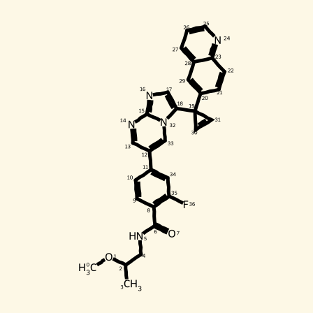 COC(C)CNC(=O)c1ccc(-c2cnc3ncc(C4(c5ccc6ncccc6c5)C=C4)n3c2)cc1F